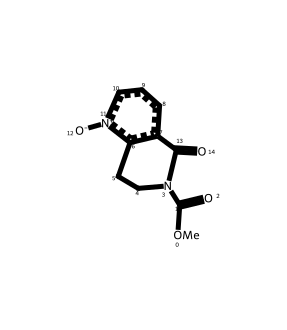 COC(=O)N1CCc2c(ccc[n+]2[O-])C1=O